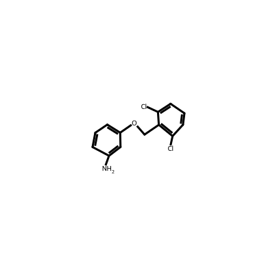 Nc1cccc(OCc2c(Cl)cccc2Cl)c1